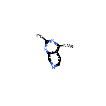 CNc1nc(C(C)C)nc2cnccc12